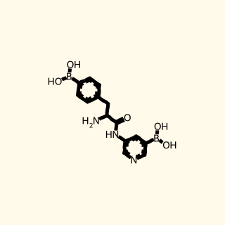 NC(Cc1ccc(B(O)O)cc1)C(=O)Nc1cncc(B(O)O)c1